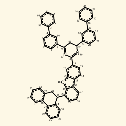 c1ccc(-c2cccc(C3=NC(c4ccc5c(c4)oc4c(C6Cc7ccccc7-c7ccccc76)cccc45)=NC(c4cccc(-c5ccccc5)c4)C3)c2)cc1